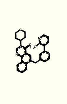 Cc1ncccc1-c1cc(Cc2cc3c(=O)n(C4CCOCC4)cnc3c3ccccc23)ccn1